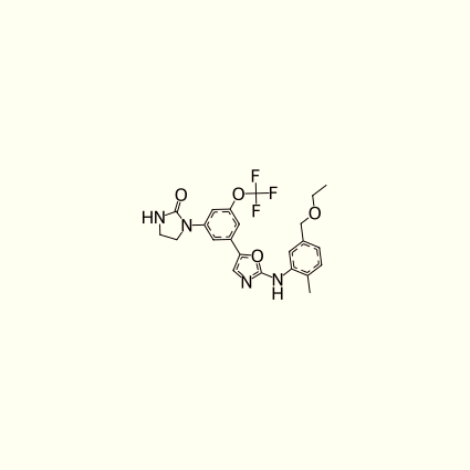 CCOCc1ccc(C)c(Nc2ncc(-c3cc(OC(F)(F)F)cc(N4CCNC4=O)c3)o2)c1